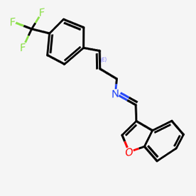 FC(F)(F)c1ccc(/C=C/CN=Cc2coc3ccccc23)cc1